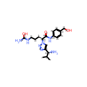 CC(C)[C@H](N)c1cn([C@@H](CCCNC(N)O)C(=O)Nc2ccc(CO)cc2)nn1